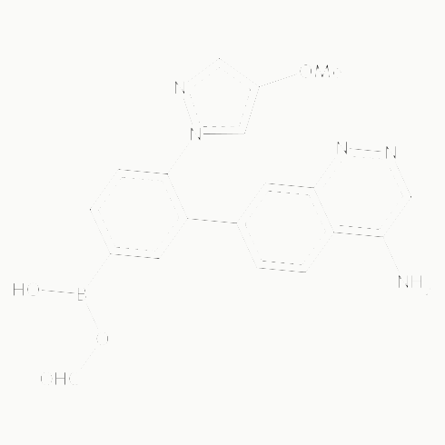 COc1cnn(-c2ccc(B(O)OC=O)cc2-c2ccc3c(N)cnnc3c2)c1